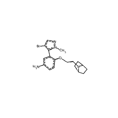 Cn1ncc(Br)c1-c1cc(N)ccc1OCCN1C2CCC1CC2